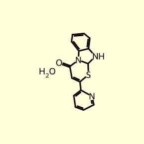 O.O=C1C=C(c2ccccn2)SC2Nc3ccccc3N12